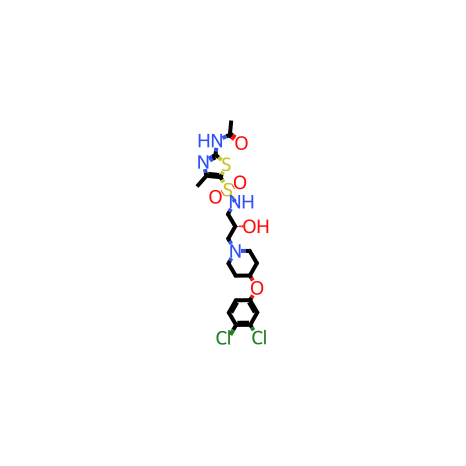 CC(=O)Nc1nc(C)c(S(=O)(=O)NC[C@H](O)CN2CCC(Oc3ccc(Cl)c(Cl)c3)CC2)s1